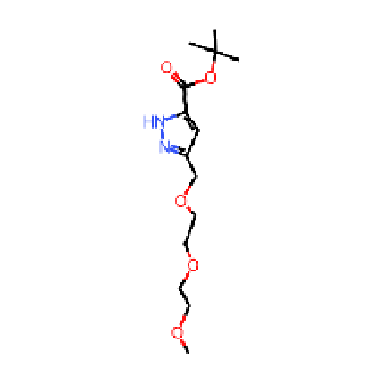 COCCOCCOCc1cc(C(=O)OC(C)(C)C)[nH]n1